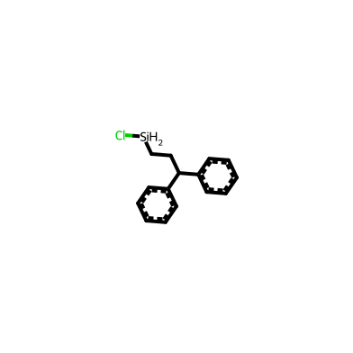 Cl[SiH2]CCC(c1ccccc1)c1ccccc1